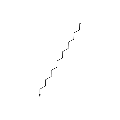 [CH2]CCCCCCCCCCCCCCF